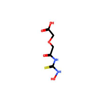 O=C(O)COCC(=O)NC(=S)NO